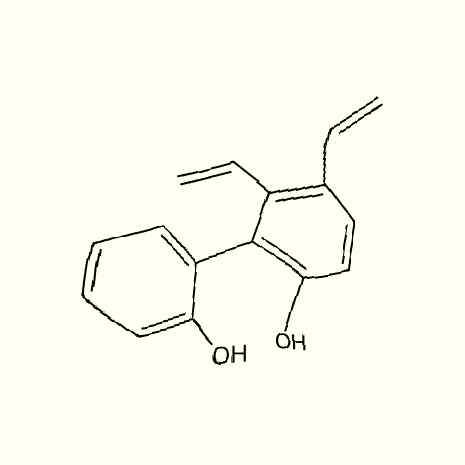 C=Cc1ccc(O)c(-c2ccccc2O)c1C=C